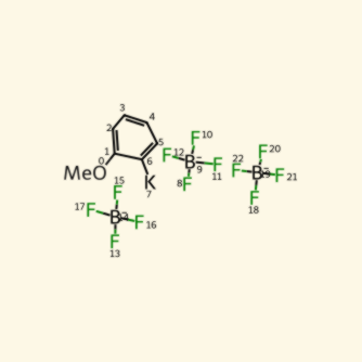 COc1cccc[c]1[K].F[B-](F)(F)F.F[B-](F)(F)F.F[B-](F)(F)F